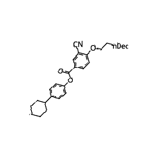 CCCCCCCCCCCCOc1ccc(C(=O)Oc2ccc(C3CC[CH]CC3)cc2)cc1C#N